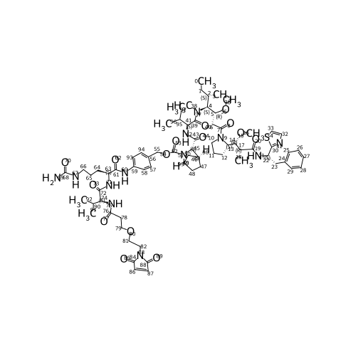 CC[C@H](C)[C@@H]([C@@H](CC(=O)N1CCC[C@H]1[C@H](OC)[C@@H](C)C(=O)N[C@@H](Cc1ccccc1)c1nccs1)OC)N(C)C(=O)[C@@H](NC(=O)[C@@H]1[C@H]2CC[C@H](C2)N1C(=O)OCc1ccc(NC(=O)[C@H](CCCNC(N)=O)NC(=O)[C@@H](NC(=O)CCOCCN2C(=O)C=CC2=O)C(C)C)cc1)C(C)C